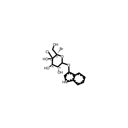 OC[C@@]1(Br)OC(Oc2c[nH]c3ccccc23)[C@H](O)[C@@H](O)[C@]1(O)Cl